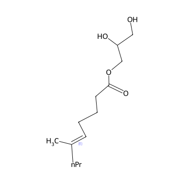 CCC/C(C)=C/CCCC(=O)OCC(O)CO